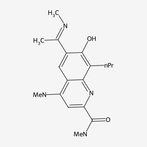 CCCc1c(O)c(C(C)=NC)cc2c(NC)cc(C(=O)NC)nc12